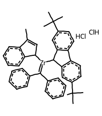 CC1=C[CH]([Zr](=[C](c2ccccc2)c2ccccc2)[CH]2c3cc(C(C)(C)C)ccc3-c3ccc(C(C)(C)C)cc32)c2ccccc21.Cl.Cl